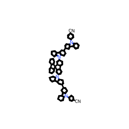 N#Cc1ccc(-n2c3ccccc3c3cc(-c4ccc5c(c4)c4ccccc4n5-c4ccc5c(c4)C4(c6ccccc6-c6ccccc64)c4cc(-n6c7ccccc7c7cc(-c8ccc9c(c8)c8ccccc8n9-c8ccc(C#N)cc8)ccc76)ccc4-5)ccc32)cc1